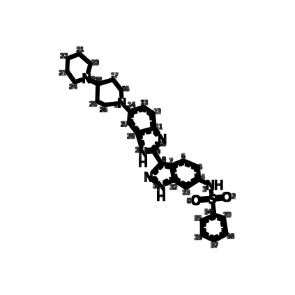 O=S(=O)(Nc1ccc2c(-c3nc4ccc(N5CCC(N6CCCCC6)CC5)cc4[nH]3)n[nH]c2c1)c1ccccc1